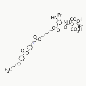 CC(C)Nc1cc(NC(=O)C2C(C(=O)O)C(C(=O)C(C)C)C2C(=O)O)cc(C(=O)OCCCCCCOC(=O)/C=C/c2ccc(OC(=O)c3ccc(OCCCC(F)(F)F)cc3)cc2)c1